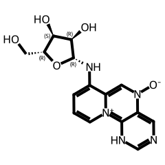 [O-]N1C=c2c(N[C@@H]3O[C@H](CO)[C@@H](O)[C@H]3O)ccc[n+]2=C2NC=NC=C21